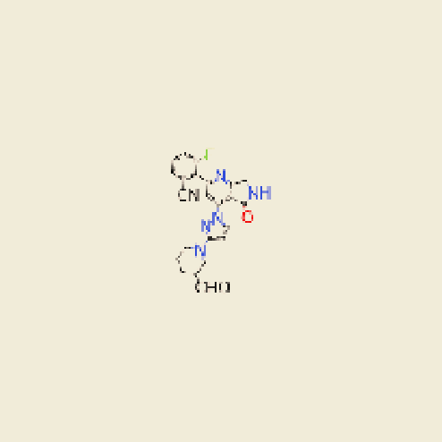 N#Cc1cccc(F)c1-c1cc(-n2ccc(N3CCCC(C=O)C3)n2)c2c(n1)CNC2=O